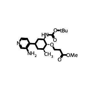 COC(=O)CCO[C@@H]1[C@@H](C)CC(c2ccncc2N)C[C@H]1NC(=O)OC(C)(C)C